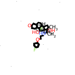 C=C(NCCCOc1ccc(F)cc1)[C@@]1(O)[C@H](C)C[C@H]2[C@@H]3CCC4=CC(=O)C=C[C@]4(C)[C@@]3(F)[C@@H](O)C[C@@]21C